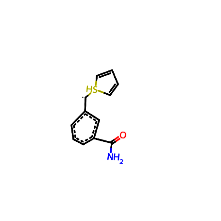 NC(=O)c1cccc([CH][SH]2C=CC=C2)c1